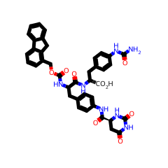 NC(=O)Nc1ccc(CC(NC(=O)C(Cc2ccc(NC(=O)[C@@H]3CC(=O)NC(=O)N3)cc2)NC(=O)OCc2cccc3c2Cc2ccccc2-3)C(=O)O)cc1